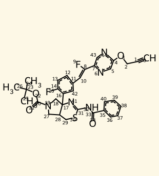 C#CCOc1cnc(/C(F)=C/c2ccc(F)c(C34CN(C(=O)OC(C)(C)C)CC3CSC(NC(=O)c3ccccc3)=N4)c2)cn1